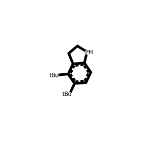 CC(C)(C)c1ccc2c(c1C(C)(C)C)CCP2